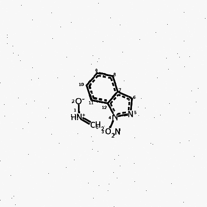 C=[NH+][O-].O=[N+]([O-])n1ncc2ccccc21